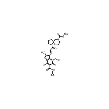 Cc1nn2c(O)c(C(=O)NC3CC3)c(=O)n(CC(C)C)c2c1/C=C/C(=O)N1CCCC12CCCN(C(=O)OC(C)(C)C)C2